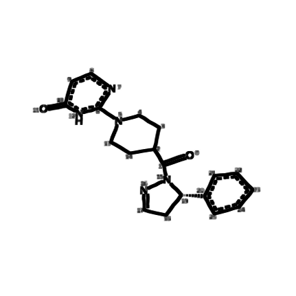 O=C(C1CCN(c2nccc(=O)[nH]2)CC1)N1N=CC[C@H]1c1ccccc1